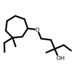 CCC(C)(O)CCOC1CCCCC(C)(CC)C1